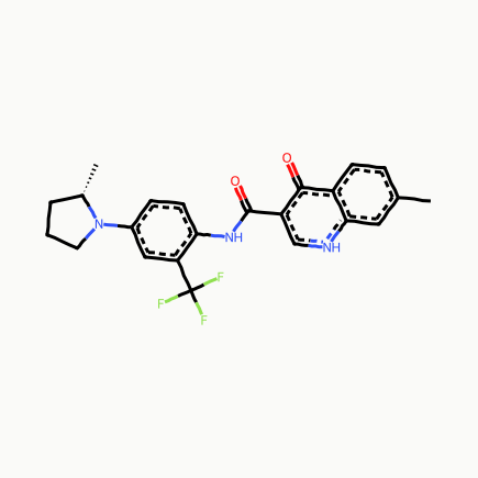 Cc1ccc2c(=O)c(C(=O)Nc3ccc(N4CCC[C@@H]4C)cc3C(F)(F)F)c[nH]c2c1